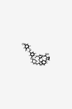 CCn1cncc1Cn1c(CN2CCC(Oc3cccc(COc4ccc(Cl)cc4F)c3)CC2)nc2ccc(C3C#CC3C(=O)O)cc21